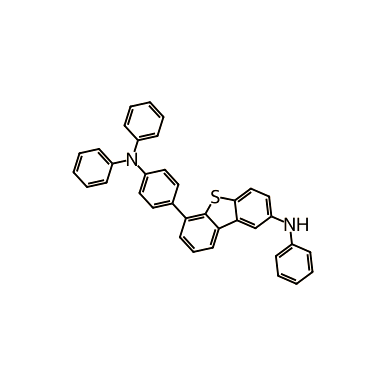 c1ccc(Nc2ccc3sc4c(-c5ccc(N(c6ccccc6)c6ccccc6)cc5)cccc4c3c2)cc1